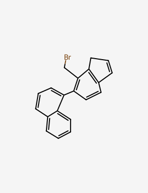 BrCc1c(-c2cccc3ccccc23)ccc2c1CC=C2